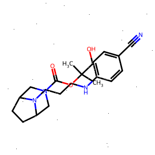 CC(C)(CO)OC(=O)N1CC2CCC(C1)N2CCCNc1ccc(C#N)cc1